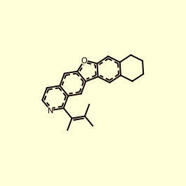 CC(C)=C(C)c1nccc2cc3oc4cc5c(cc4c3cc12)CCCC5